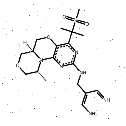 C[C@@H]1COC[C@H]2COc3c(nc(NC/C(C=N)=C/N)nc3C(C)(C)S(C)(=O)=O)N21